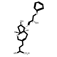 CCCC(CCC1=CC[C@@H]2[C@@H](C=C[C@@H](O)COc3ccccc3)[C@H](O)C[C@H]2OC1)C(=O)O